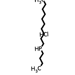 CCCCCCCCCCPCCCC.Cl